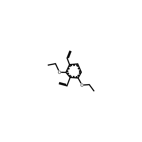 C=Cc1ccc(OCC)c(C=C)c1OCC